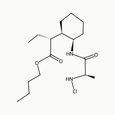 CCCCOC(=O)[C@H](CC)[C@H]1CCCC[C@H]1NC(=O)[C@@H](C)NCl